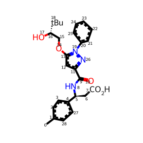 Cc1ccc([C@H](CC(=O)O)NC(=O)c2cc(OC[C@H](O)C(C)(C)C)n(-c3ccccc3)n2)cc1